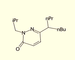 CCCCC(CCC)c1ccc(=O)n(CC(C)C)n1